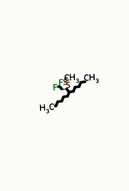 CCCCCCC(CCCCCC)[C@H](CC(F)F)SSC